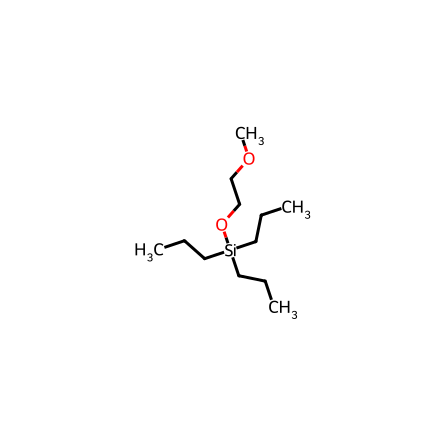 CCC[Si](CCC)(CCC)OCCOC